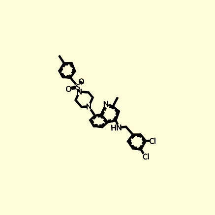 Cc1ccc(S(=O)(=O)N2CCN(c3cccc4c(NCc5ccc(Cl)c(Cl)c5)cc(C)nc34)CC2)cc1